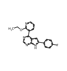 CCOc1ncccc1-c1ncnc2[nH]c(-c3ccc(F)cc3)cc12